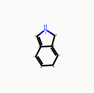 C1=CC2=CNCC2=CC1